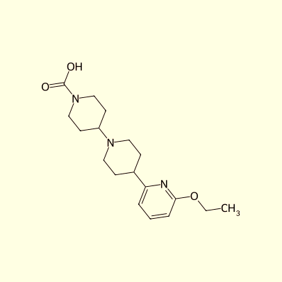 CCOc1cccc(C2CCN(C3CCN(C(=O)O)CC3)CC2)n1